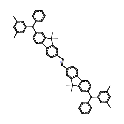 Cc1cc(C)cc(N(c2ccccc2)c2ccc3c(c2)C(C)(C)c2cc(/C=C/c4ccc5c(c4)C(C)(C)c4cc(N(c6ccccc6)c6cc(C)cc(C)c6)ccc4-5)ccc2-3)c1